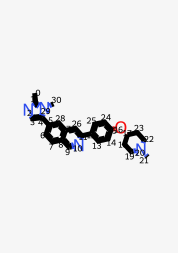 Cc1ncc(-c2ccc3cnc(-c4ccc(OC5CCN(C)CC5)cc4)cc3c2)n1C